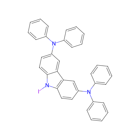 In1c2ccc(N(c3ccccc3)c3ccccc3)cc2c2cc(N(c3ccccc3)c3ccccc3)ccc21